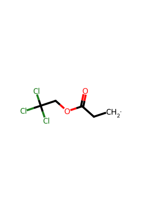 [CH2]CC(=O)OCC(Cl)(Cl)Cl